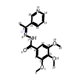 COc1cc(C(=O)N/N=C(/C)c2cccnc2)cc(OC)c1OC